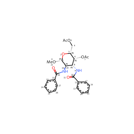 CO[C@@H]1O[C@H](COC(C)=O)[C@H](OC(C)=O)[C@H](NC(=O)c2ccccc2)[C@H]1NC(=O)c1ccccc1